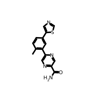 Cc1ccc(-c2cncs2)cc1-c1cnc(C(N)=O)cn1